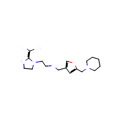 N#CC(C#N)=C1NCCN1CCNCc1coc(CN2CCCCC2)c1